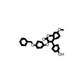 COc1ccc2c(-c3ccc(O)cc3)c(Oc3ccc(OCc4ccccc4)cc3)c(=O)oc2c1